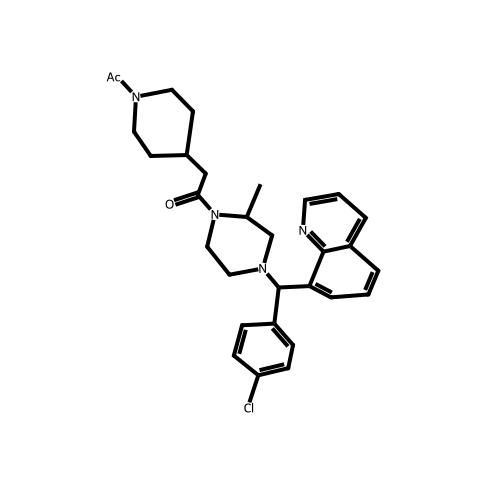 CC(=O)N1CCC(CC(=O)N2CCN(C(c3ccc(Cl)cc3)c3cccc4cccnc34)CC2C)CC1